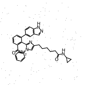 NC(=O)c1cccc(-c2ccc3[nH]ncc3c2)c1-c1nc(CCCCCC(=O)NC2CC2)cn1-c1ccccc1